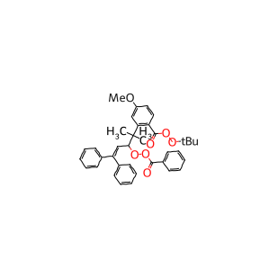 COc1ccc(C(=O)OOC(C)(C)C)c(C(C)(C)C(C=C(c2ccccc2)c2ccccc2)OOC(=O)c2ccccc2)c1